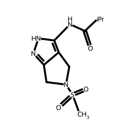 CC(C)C(=O)Nc1[nH]nc2c1CN(S(C)(=O)=O)C2